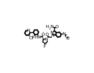 NC(=O)c1nn(CC(=O)N2C[C@H](F)C[C@H]2C(=O)Nc2cccc(-c3ncccc3Cl)c2F)c2ccc(N=C=O)cc12